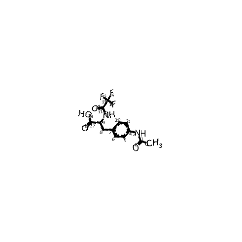 CC(=O)Nc1ccc(CC(NC(=O)C(F)(F)F)C(=O)O)cc1